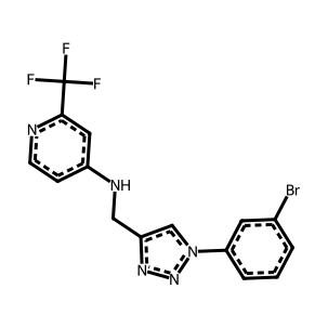 FC(F)(F)c1cc(NCc2cn(-c3cccc(Br)c3)nn2)ccn1